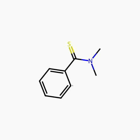 CN(C)C(=S)c1[c]cccc1